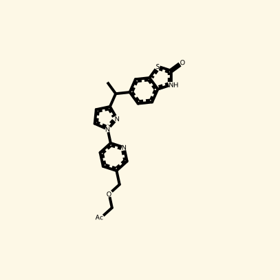 CC(=O)COCc1ccc(-n2ccc(C(C)c3ccc4[nH]c(=O)sc4c3)n2)nc1